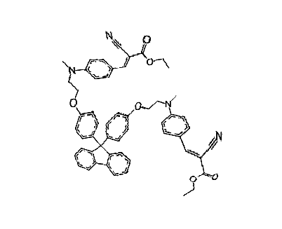 CCOC(=O)/C(C#N)=C/c1ccc(N(C)CCOc2ccc(C3(c4ccc(OCCN(C)c5ccc(/C=C(\C#N)C(=O)OCC)cc5)cc4)c4ccccc4-c4ccccc43)cc2)cc1